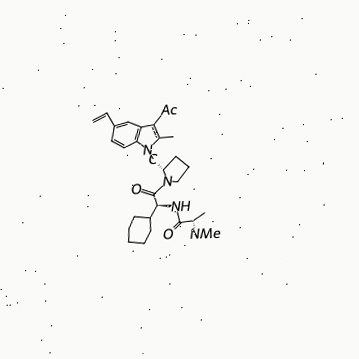 C=Cc1ccc2c(c1)c(C(C)=O)c(C)n2C[C@@H]1CCCN1C(=O)[C@@H](NC(=O)[C@H](C)NC)C1CCCCC1